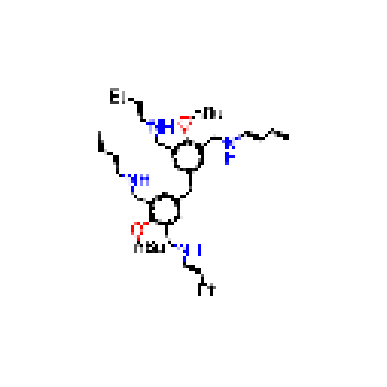 C=CC=CNCc1cc(Cc2cc(CNC=CC=C)c(OCCCC)c(CNC=CCC)c2)cc(CNC=CCC)c1OCCCC